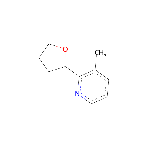 Cc1cccnc1C1CCCO1